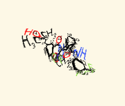 COc1ccc(CCC(C)(C)O)cc1C(=O)NC1C2CCC(/C2=C/CC(F)F)C1C(=O)Nc1ccc(F)c(C(F)(F)F)c1